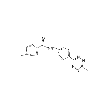 Cc1ccc(C(=O)NCc2ccc(-c3nnc(C)nn3)cc2)cc1